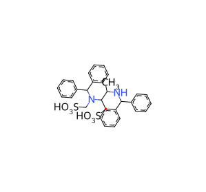 CC(NC(c1ccccc1)c1ccccc1)C(CS(=O)(=O)O)N(CS(=O)(=O)O)C(c1ccccc1)c1ccccc1